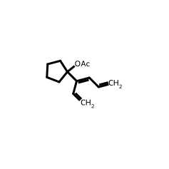 C=C/C=C(\C=C)C1(OC(C)=O)CCCC1